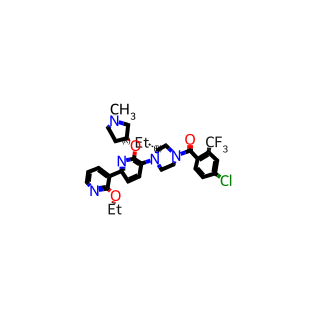 CCOc1ncccc1-c1ccc(N2CCN(C(=O)c3ccc(Cl)cc3C(F)(F)F)C[C@H]2CC)c(O[C@@H]2CCN(C)C2)n1